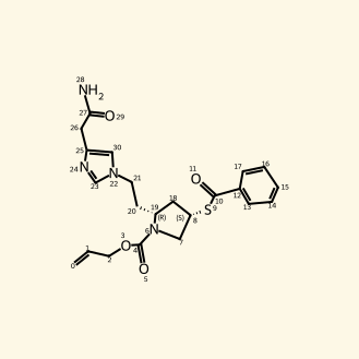 C=CCOC(=O)N1C[C@@H](SC(=O)c2ccccc2)C[C@H]1CCn1cnc(CC(N)=O)c1